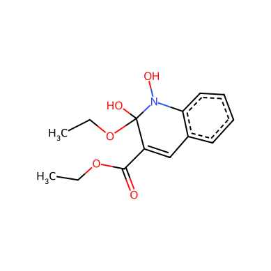 CCOC(=O)C1=Cc2ccccc2N(O)C1(O)OCC